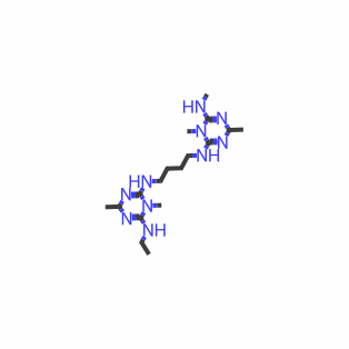 CCNC1=NC(C)N=C(NCCCCNC2=NC(C)N=C(NC)N2C)N1C